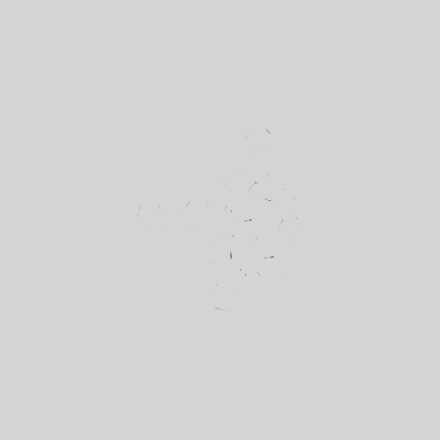 c1ccc(-c2ccc(N(c3ccc(-c4ccccc4)cc3)c3ccc(-c4ccccc4-n4c5ccccc5c5ccccc54)c(-c4cccc5oc6ccccc6c45)c3)cc2)cc1